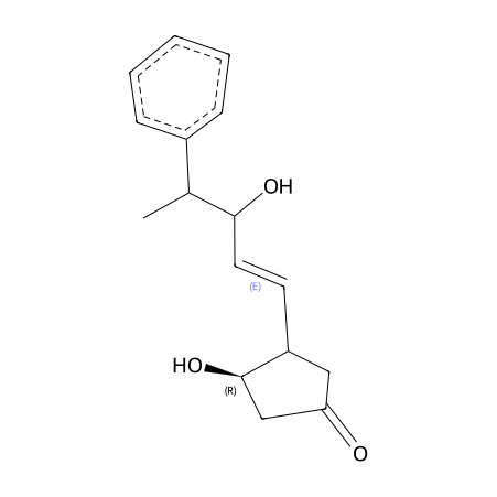 CC(c1ccccc1)C(O)/C=C/C1CC(=O)C[C@H]1O